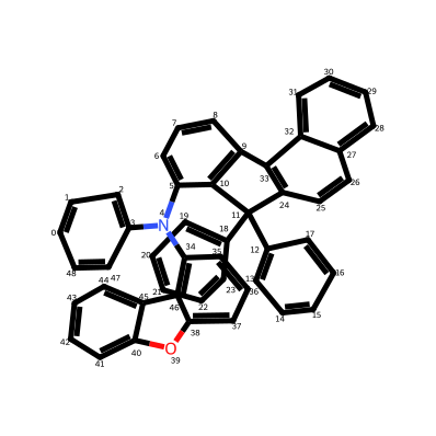 c1ccc(N(c2cccc3c2C(c2ccccc2)(c2ccccc2)c2ccc4ccccc4c2-3)c2cccc3oc4ccccc4c23)cc1